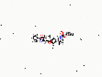 CC[C@H]1CN(C(=O)OC(C)(C)C)C[C@H]1c1ccc(OCCc2nc(-c3ccccc3)oc2C)cc1